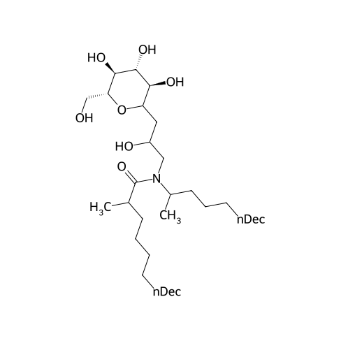 CCCCCCCCCCCCCCC(C)C(=O)N(CC(O)CC1O[C@H](CO)[C@@H](O)[C@H](O)[C@H]1O)C(C)CCCCCCCCCCCCC